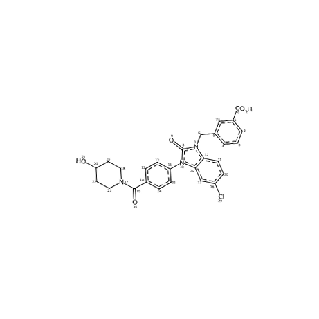 O=C(O)c1cccc(Cn2c(=O)n(-c3ccc(C(=O)N4CCC(O)CC4)cc3)c3cc(Cl)ccc32)c1